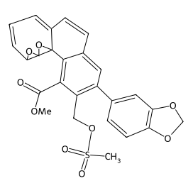 COC(=O)c1c(COS(C)(=O)=O)c(-c2ccc3c(c2)OCO3)cc2c1C13OCOC1C=CC=C3C=C2